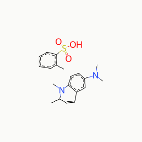 CC1C=Cc2cc(N(C)C)ccc2N1C.Cc1ccccc1S(=O)(=O)O